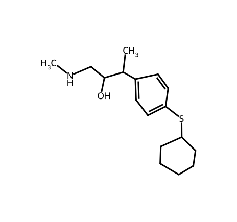 CNCC(O)C(C)c1ccc(SC2CCCCC2)cc1